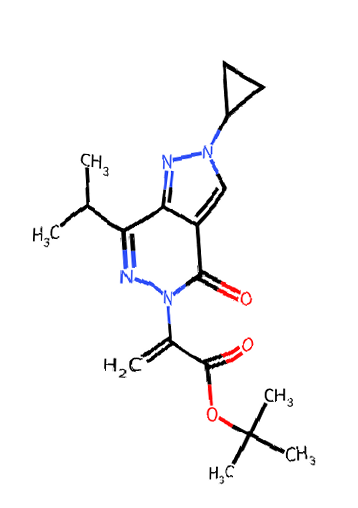 C=C(C(=O)OC(C)(C)C)n1nc(C(C)C)c2nn(C3CC3)cc2c1=O